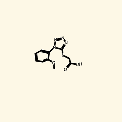 COc1ccccc1-n1nnnc1SCC(=O)O